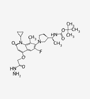 Cc1c(N2CC[C@@H]([C@H](C)NC(=O)OC(C)(C)C)C2)c(F)cc2c(OCC(=O)NN)cc(=O)n(C3CC3)c12